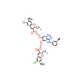 C#Cc1cccc(Nc2ncnc3cc(OCCOC(=O)C4=Cc5cc(Cl)c(C(C)(C)C)cc5OC4C(F)(F)F)c(OCCOC(=O)C4=Cc5cc(Cl)c(C(C)(C)C)cc5OC4C(F)(F)F)cc23)c1